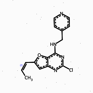 C/C=C\c1cc2nc(Cl)nc(NCc3ccncc3)c2o1